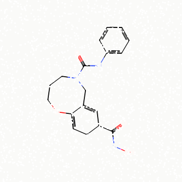 O=C(NO)C1C=C2CN(C(=O)Nc3ccccc3)CCCOC2=CC1